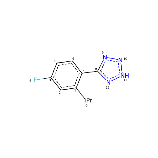 CC(C)c1cc(F)ccc1-c1nn[nH]n1